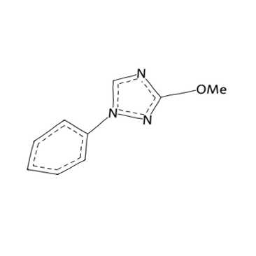 COc1ncn(-c2ccccc2)n1